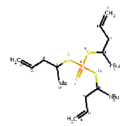 C=CCC(CCCC)SP(=S)(SC(CC=C)CCCC)SC(CC=C)CCCC